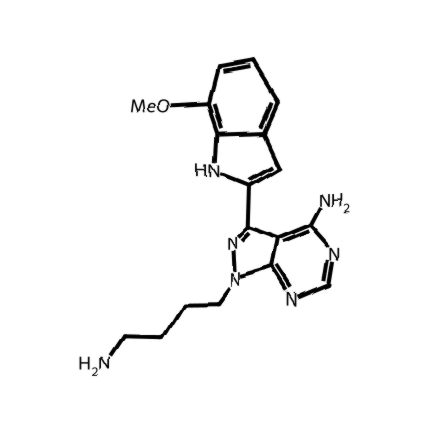 COc1cccc2cc(-c3nn(CCCCN)c4ncnc(N)c34)[nH]c12